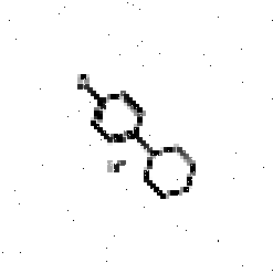 [Li+].[O-]c1ccc(C2CCCCC2)cc1